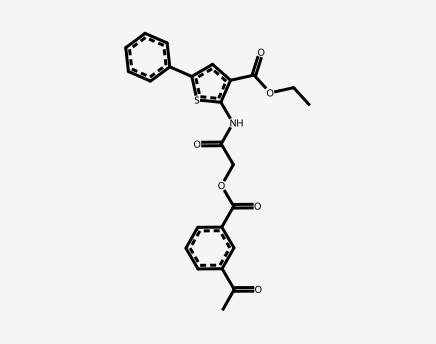 CCOC(=O)c1cc(-c2ccccc2)sc1NC(=O)COC(=O)c1cccc(C(C)=O)c1